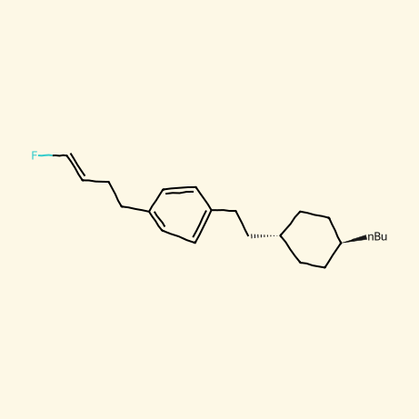 CCCC[C@H]1CC[C@H](CCc2ccc(CCC=CF)cc2)CC1